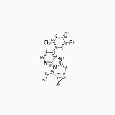 CCc1nc2c(-c3cc(F)c(C)cc3Cl)ccnc2n1C(CC)C1CC1